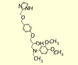 CCN(C[C@H](O)COc1ccc(COCc2ncc[nH]2)cc1)c1ccc(OC)c(OC)c1